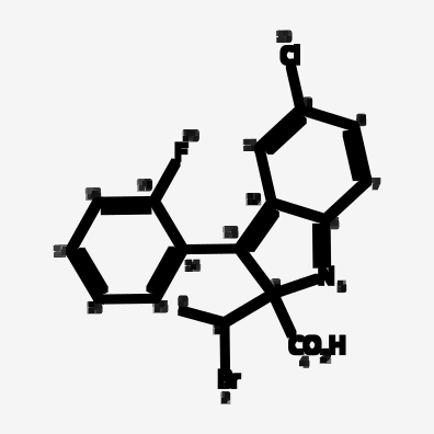 CC(Br)C1(C(=O)O)N=c2ccc(Cl)cc2=C1c1ccccc1F